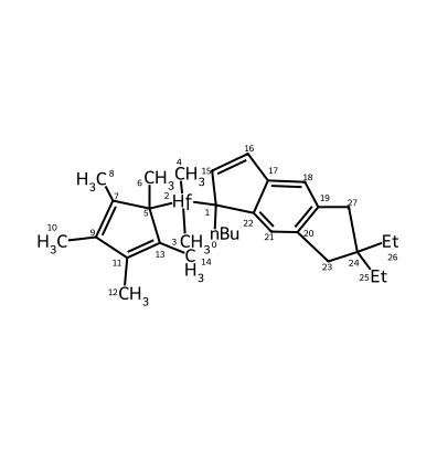 CCCC[C]1([Hf]([CH3])([CH3])[C]2(C)C(C)=C(C)C(C)=C2C)C=Cc2cc3c(cc21)CC(CC)(CC)C3